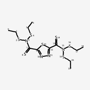 CCSN(SCC)C(=S)c1nnc(C(=S)N(SCC)SCC)s1